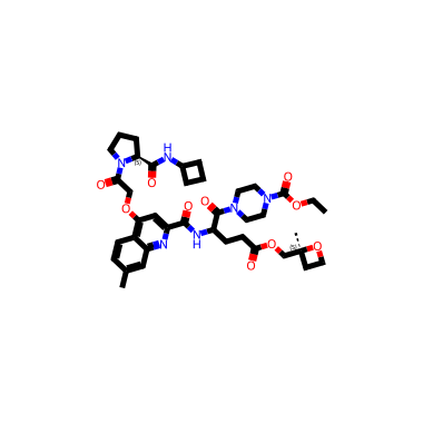 CCOC(=O)N1CCN(C(=O)C(CCC(=O)OC[C@]2(C)CCO2)NC(=O)c2cc(OCC(=O)N3CCC[C@H]3C(=O)NC3CCC3)c3ccc(C)cc3n2)CC1